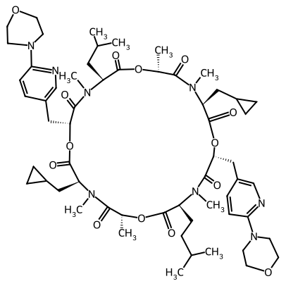 CC(C)CC[C@H]1C(=O)O[C@H](C)C(=O)N(C)[C@@H](CC2CC2)C(=O)O[C@H](Cc2ccc(N3CCOCC3)nc2)C(=O)N(C)[C@@H](CC(C)C)C(=O)O[C@H](C)C(=O)N(C)[C@@H](CC2CC2)C(=O)O[C@H](Cc2ccc(N3CCOCC3)nc2)C(=O)N1C